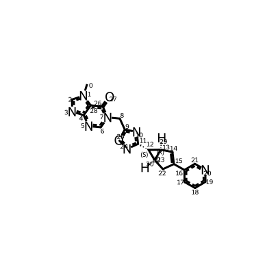 Cn1cnc2ncn(Cc3nc([C@@H]4[C@H]5C=C(c6cccnc6)C[C@H]54)no3)c(=O)c21